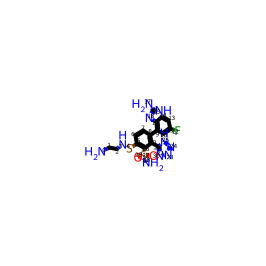 NCCNSc1ccc(-c2cc(F)cc3[nH]c(N)nc23)c(-c2nnn[nH]2)c1S(N)(=O)=O